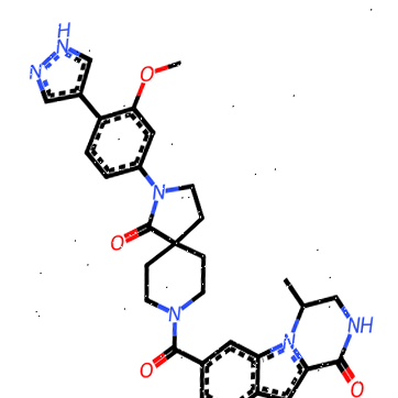 COc1cc(N2CCC3(CCN(C(=O)c4ccc5cc6n(c5c4)C(C)CNC6=O)CC3)C2=O)ccc1-c1cn[nH]c1